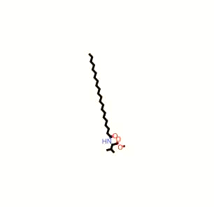 CCCCCCCCCCCCCCCCCCCCCC(=O)N[C@H](C(=O)OC)C(C)C